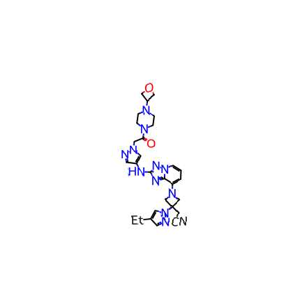 CCc1cnn(C2(CC#N)CN(c3cccn4nc(Nc5cnn(CC(=O)N6CCN(C7COC7)CC6)c5)nc34)C2)c1